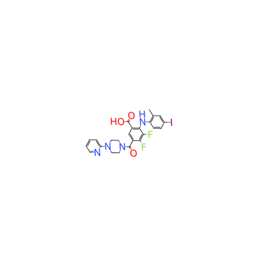 Cc1cc(I)ccc1Nc1c(C(=O)O)cc(C(=O)N2CCN(c3ccccn3)CC2)c(F)c1F